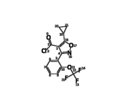 O=C(Cl)c1c(-c2ccccc2OC(F)(F)F)noc1C1CC1